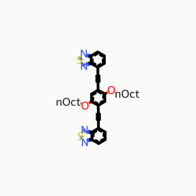 CCCCCCCCOc1cc(C#Cc2cccc3nsnc23)c(OCCCCCCCC)cc1C#Cc1cccc2nsnc12